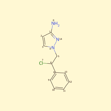 Nc1ccn(CC(Cl)c2ccccc2)n1